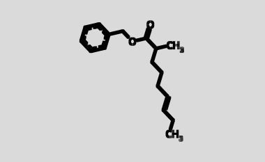 CCC=CCCCC(C)C(=O)OCc1ccccc1